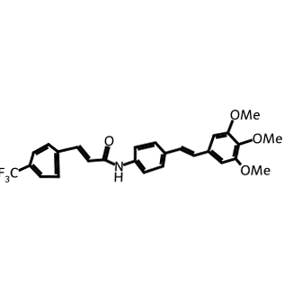 COc1cc(/C=C/c2ccc(NC(=O)/C=C/c3ccc(C(F)(F)F)cc3)cc2)cc(OC)c1OC